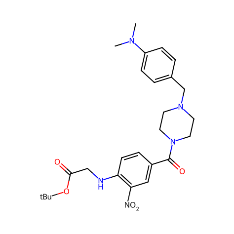 CN(C)c1ccc(CN2CCN(C(=O)c3ccc(NCC(=O)OC(C)(C)C)c([N+](=O)[O-])c3)CC2)cc1